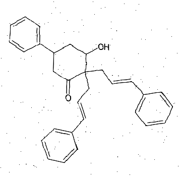 O=C1CC(c2ccccc2)CC(O)C1(CC=Cc1ccccc1)CC=Cc1ccccc1